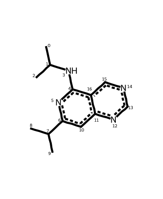 CC(C)Nc1nc(C(C)C)cc2ncncc12